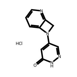 Cl.O=c1cc(N2Cc3ncccc32)cn[nH]1